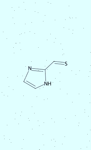 S=Cc1ncc[nH]1